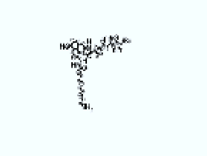 CCCO[C@H](CC(C(C)C)N(CCC)C(=O)C[C@@H](C)CC)c1nc(C(=O)N[C@H]2Cc3ccc(O)cc3[C@H](C(=O)NNC(=O)OCCOCCOCCN)C2)cs1